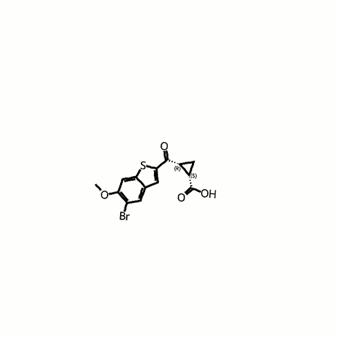 COc1cc2sc(C(=O)[C@@H]3C[C@@H]3C(=O)O)cc2cc1Br